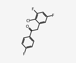 O=C(Cc1cc(F)cc(F)c1Cl)c1ccc(F)cc1